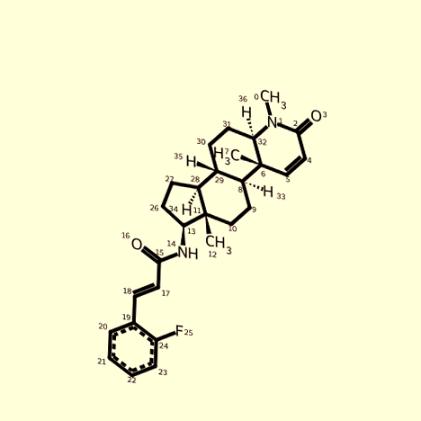 CN1C(=O)C=C[C@]2(C)[C@H]3CC[C@]4(C)[C@@H](NC(=O)C=Cc5ccccc5F)CC[C@H]4[C@@H]3CC[C@@H]12